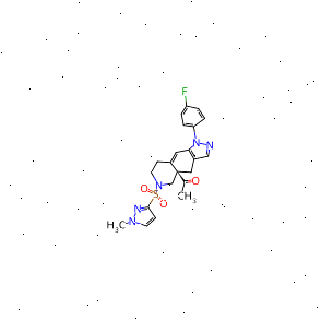 CC(=O)[C@]12Cc3cnn(-c4ccc(F)cc4)c3C=C1CCN(S(=O)(=O)c1ccn(C)n1)C2